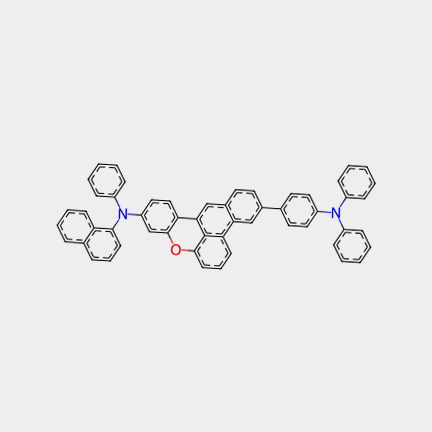 c1ccc(N(c2ccccc2)c2ccc(-c3ccc4cc5c6c(cccc6c4c3)Oc3cc(N(c4ccccc4)c4cccc6ccccc46)ccc3-5)cc2)cc1